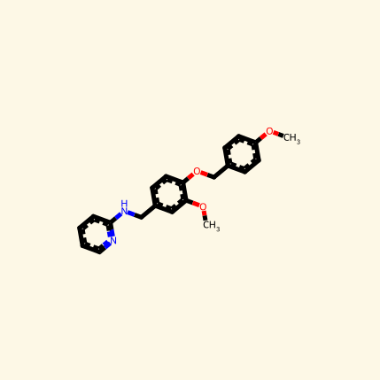 COc1ccc(COc2ccc(CNc3ccccn3)cc2OC)cc1